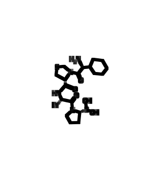 CC[C@H](NC(=O)[C@@H]1CSCN1C(=O)[C@@H](N)C1CCCCC1)C(=O)N1CCC[C@H]1B(O)O